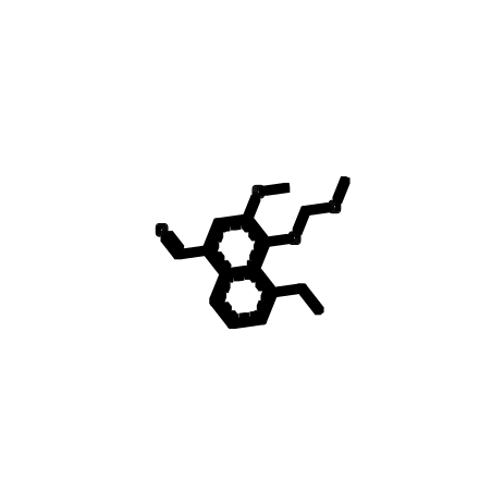 CCc1cccc2c(C=O)cc(OC)c(OCOC)c12